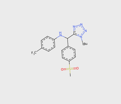 CC(C)(C)n1nnnc1C(Nc1ccc(C(F)(F)F)cc1)c1ccc(S(C)(=O)=O)cc1